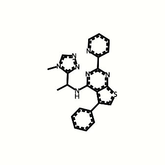 CC(Nc1nc(-c2ccccn2)nc2scc(-c3ccccc3)c12)c1nncn1C